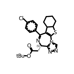 CC(C)(C)OC(=O)C[C@@H]1N=C(c2ccc(Cl)cc2)C2=C(SC3CCCCC23)n2cnnc21